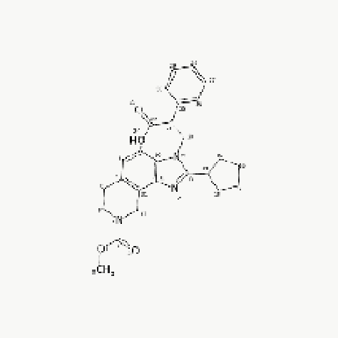 COC(=O)N1CCc2ccc3c(nc(C4CCCC4)n3C[C@H](C(=O)O)c3ccccc3)c2C1